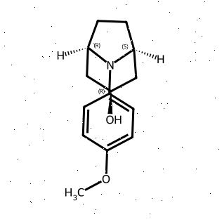 COc1ccc(N2[C@@H]3CC[C@H]2C[C@@H](O)C3)cc1